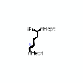 [CH2]CCCCCC/C=C/CCC(CCCCCC[CH2])C(C)C